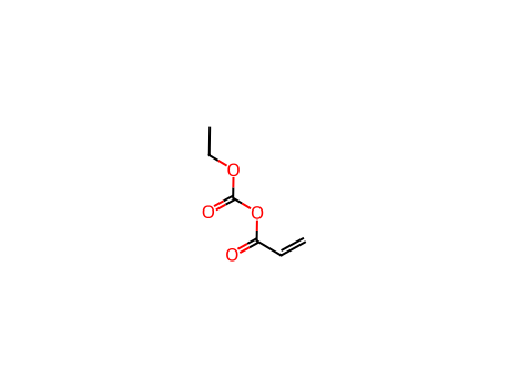 C=CC(=O)OC(=O)OCC